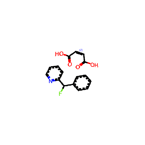 FC(c1ccccc1)c1ccccn1.O=C(O)/C=C\C(=O)O